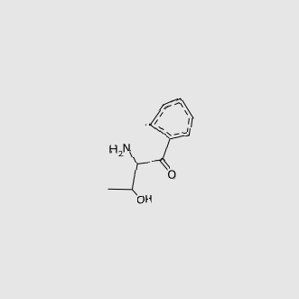 CC(O)C(N)C(=O)c1[c]cccc1